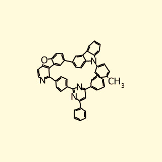 Cc1ccc(-n2c3ccccc3c3cc(-c4ccc5oc6ccnc(-c7ccc(-c8nc(-c9ccccc9)cc(-c9ccccc9)n8)cc7)c6c5c4)ccc32)cc1